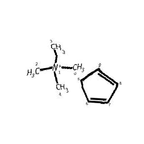 C[N+](C)(C)C.[CH]1C=CC=C1